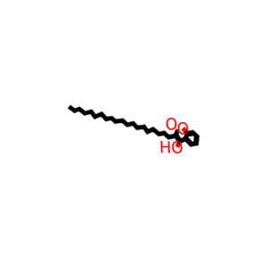 CCCCCCCCCCCCCCCCCCCCc1c(O)c2ccccc2oc1=O